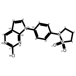 O=S1(=O)CCCN1c1ccc(-n2ccc3cnc(Cl)nc32)cc1